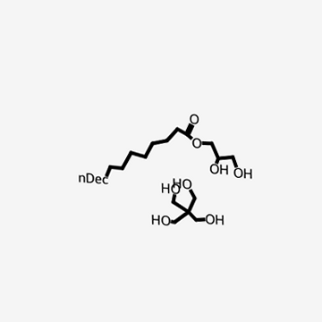 CCCCCCCCCCCCCCCCCC(=O)OCC(O)CO.OCC(CO)(CO)CO